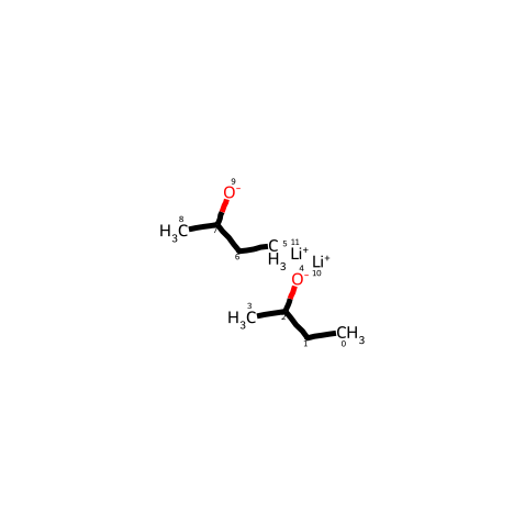 CCC(C)[O-].CCC(C)[O-].[Li+].[Li+]